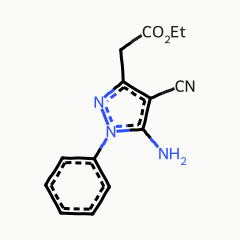 CCOC(=O)Cc1nn(-c2ccccc2)c(N)c1C#N